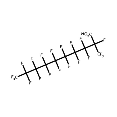 O=C(O)C(F)(C(F)(F)F)C(F)(F)C(F)(F)C(F)(F)C(F)(F)C(F)(F)C(F)(F)C(F)(F)C(F)(F)F